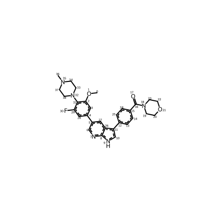 COc1cc(-c2cnc3[nH]cc(-c4ccc(C(=O)N5CCOCC5)cc4)c3c2)cc(F)c1N1CCN(C)CC1